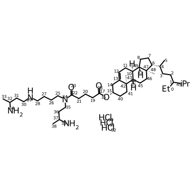 CCC(CCC(C)[C@H]1CC[C@H]2[C@@H]3CC=C4C[C@@H](OC(=O)CCCC(=O)N(CCCCNCCC(C)N)CCC(C)N)CC[C@]4(C)[C@H]3CC[C@]12C)C(C)C.Cl.Cl.Cl